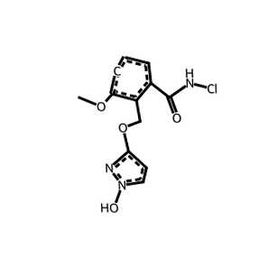 COc1cccc(C(=O)NCl)c1COc1ccn(O)n1